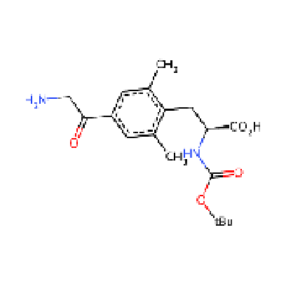 Cc1cc(C(=O)CN)cc(C)c1C[C@H](NC(=O)OC(C)(C)C)C(=O)O